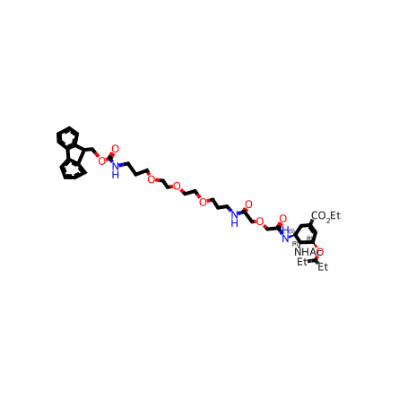 CCOC(=O)C1=C[C@@H](OC(CC)CC)[C@H](NC(C)=O)[C@@H](NC(=O)COCC(=O)NCCCOCCOCCOCCCNC(=O)OCC2c3ccccc3-c3ccccc32)C1